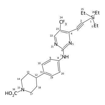 CC[Si](C#Cc1nc(Nc2ccc(C3CCN(C(=O)O)CC3)cc2)ncc1C(F)(F)F)(CC)CC